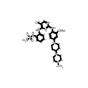 COc1cc(N2CCC(N3CCN(C)CC3)CC2)ccc1Nc1ncc(Cl)c(Nc2ccccc2NS(N)(=O)=O)n1